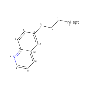 CCCCCCCCCCc1ccc2ncccc2c1